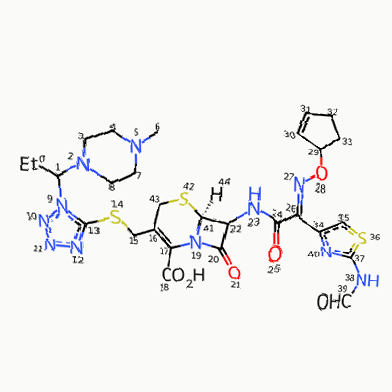 CCC(N1CCN(C)CC1)n1nnnc1SCC1=C(C(=O)O)N2C(=O)C(NC(=O)C(=NOC3C=CCC3)c3csc(NC=O)n3)[C@@H]2SC1